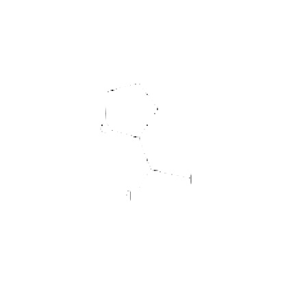 [2H]C(I)C1CCCO1